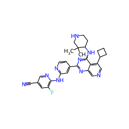 CC1(C)CNCCC1Nc1nc(-c2ccnc(Nc3ncc(C#N)cc3F)c2)nc2cncc(C3CCC3)c12